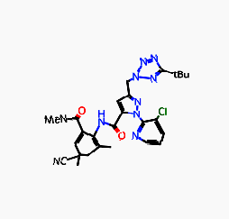 CNC(=O)C1=CC(C)(C#N)CC(C)=C1NC(=O)c1cc(Cn2nnc(C(C)(C)C)n2)nn1-c1ncccc1Cl